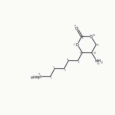 CCCCCCCCCCCCC1OC(=O)OCC1N